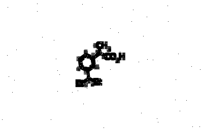 CCC(CC)c1cccc([C@@H](C)C(=O)O)c1